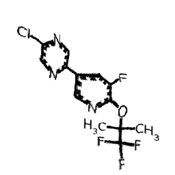 CC(C)(Oc1ncc(-c2cnc(Cl)cn2)cc1F)C(F)(F)F